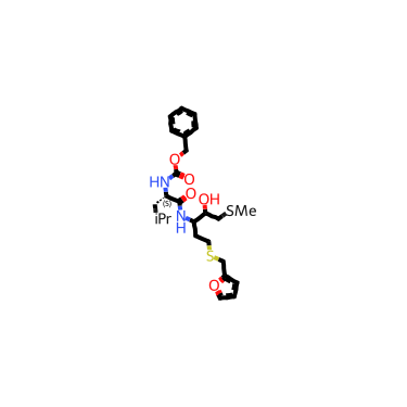 CSCC(O)C(CCSCc1ccco1)NC(=O)[C@H](CC(C)C)NC(=O)OCc1ccccc1